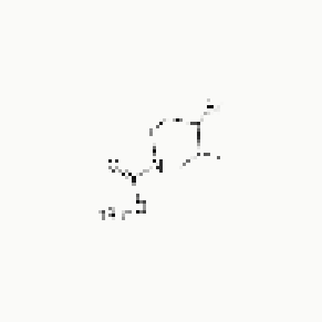 CC1CN(C(=O)OC(C)(C)C)CCC1Br